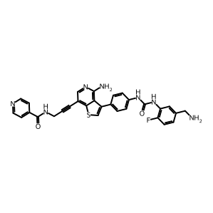 NCc1ccc(F)c(NC(=O)Nc2ccc(-c3csc4c(C#CCNC(=O)c5ccncc5)cnc(N)c34)cc2)c1